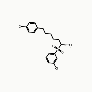 O=C(O)C(CCCCCc1ccc(Cl)cc1)S(=O)(=O)c1cccc(Cl)c1